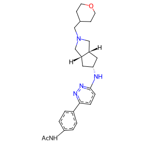 CC(=O)Nc1ccc(-c2ccc(N[C@@H]3C[C@@H]4CN(CC5CCOCC5)C[C@@H]4C3)nn2)cc1